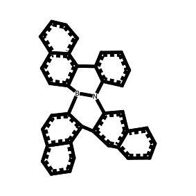 c1ccc2c(c1)-c1c(ccc3ccccc13)B1c3ccc4ccccc4c3-c3cc4ccccc4cc3N12